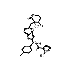 CCn1nccc1C(=O)N[C@H](c1cn2nc(CC3(C(=O)O)C(=O)NCCC3C)ccc2n1)[C@H]1CC[C@H](C)CC1